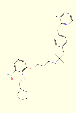 Cc1cccnc1Oc1ccc(CC(C)(C)NC[C@H](O)COc2cccc([N+](=O)[O-])c2NCC2CCCC2)cc1